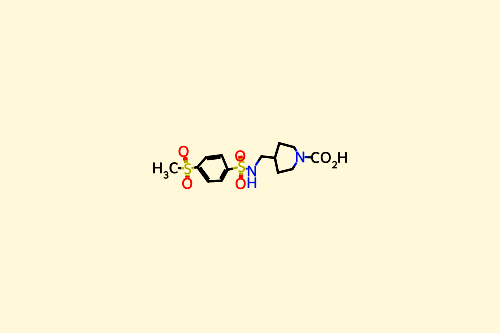 CS(=O)(=O)c1ccc(S(=O)(=O)NCC2CCN(C(=O)O)CC2)cc1